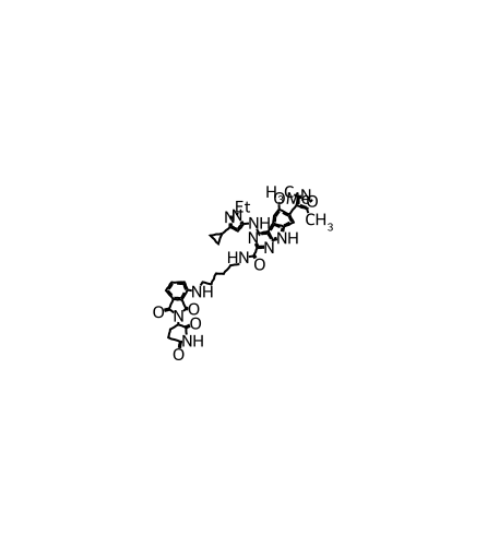 CCn1nc(C2CC2)cc1Nc1nc(C(=O)NCCCCCCNc2cccc3c2C(=O)N(C2CCC(=O)NC2=O)C3=O)nc2[nH]c3cc(-c4c(C)noc4C)c(OC)cc3c12